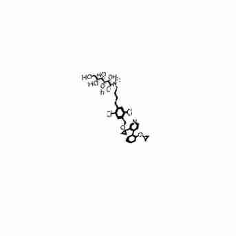 CCN(CCCCc1cc(Cl)c(COC2(c3cnccc3-c3ccccc3OC3CC3)CC2)cc1Cl)C(=O)[C@H](O)[C@H](O)[C@@H](O)[C@H](O)CO